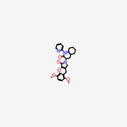 COc1ccc(OC)c2c1CC1=C(O2)C(=O)N(C(CC2CCCCC2)C(=O)Nc2ccccn2)C1